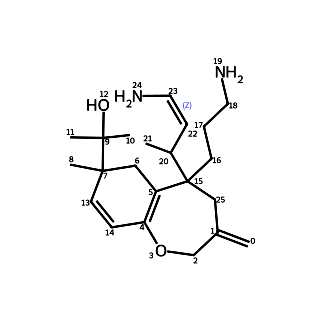 C=C1COC2=C(CC(C)(C(C)(C)O)C=C2)C(CCCN)(C(C)/C=C\N)C1